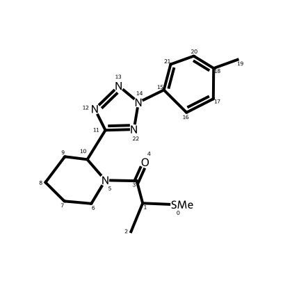 CSC(C)C(=O)N1CCCCC1c1nnn(-c2ccc(C)cc2)n1